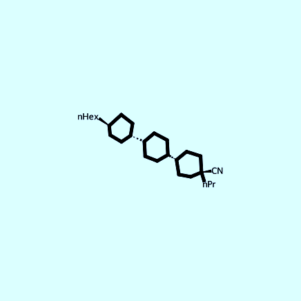 CCCCCC[C@H]1CC[C@H](C2CCC([C@H]3CC[C@@](C#N)(CCC)CC3)CC2)CC1